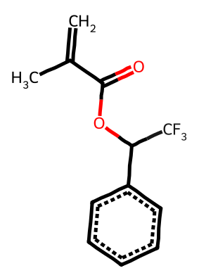 C=C(C)C(=O)OC(c1ccccc1)C(F)(F)F